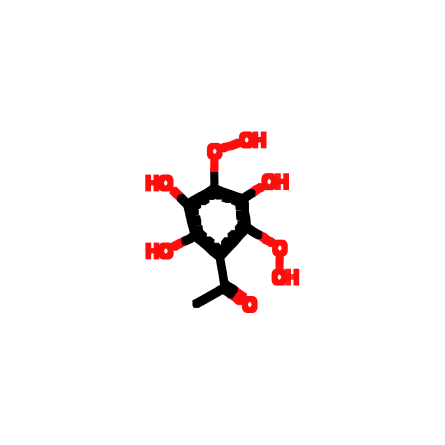 CC(=O)c1c(O)c(O)c(OO)c(O)c1OO